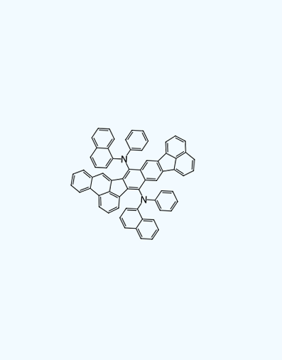 c1ccc(N(c2cccc3ccccc23)c2c3cc4c(cc3c(N(c3ccccc3)c3cccc5ccccc35)c3c5cc6ccccc6c6cccc(c23)c65)c2cccc3cccc4c32)cc1